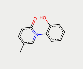 Cc1ccc(=O)n(-c2ccccc2O)c1